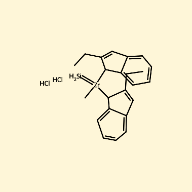 CCC1=Cc2ccccc2[CH]1[Zr]([CH3])(=[SiH2])[CH]1C(CC)=Cc2ccccc21.Cl.Cl